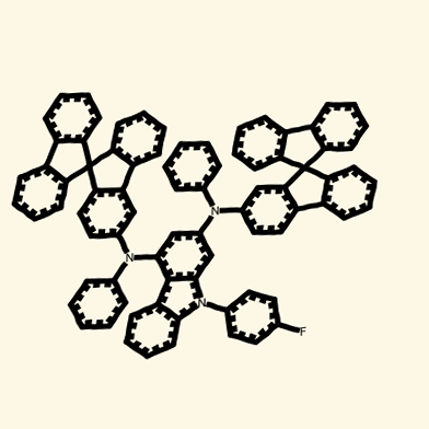 Fc1ccc(-n2c3ccccc3c3c(N(c4ccccc4)c4ccc5c(c4)-c4ccccc4C54c5ccccc5-c5ccccc54)cc(N(c4ccccc4)c4ccc5c(c4)C4(c6ccccc6-c6ccccc64)c4ccccc4-5)cc32)cc1